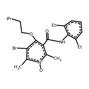 CCc1cccc(CC)c1NC(=O)c1c(OCCC(C)C)c(Br)c(C)[n+]([O-])c1C